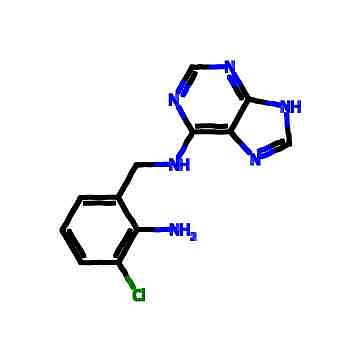 Nc1c(Cl)cccc1CNc1ncnc2[nH]cnc12